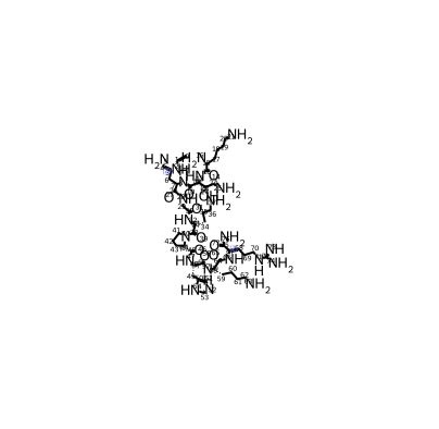 C=CN/C(=C\N)CC(NC(=O)[C@@H](NC(=O)C(N)CCCCN)[C@@H](O)CN)C(=O)NCC(=O)N[C@H](CCCN)C(=O)N1CCC[C@H]1C(=O)N[C@@H](Cc1cnc[nH]1)C(=O)N[C@@H](CCCCN)C(=O)N/C(=C\CCNC(=N)N)C(N)=O